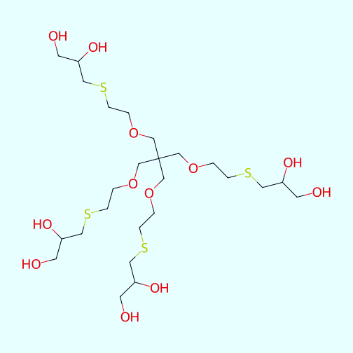 OCC(O)CSCCOCC(COCCSCC(O)CO)(COCCSCC(O)CO)COCCSCC(O)CO